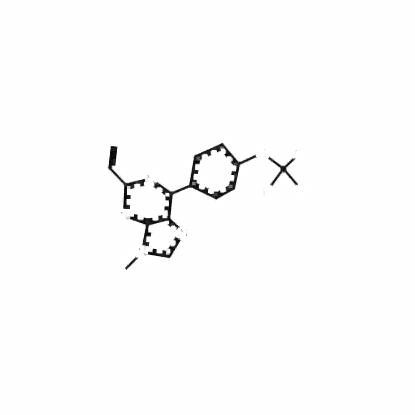 C=Cc1nc(-c2ccc(OC(F)(F)F)cc2)c2ncn(C)c2n1